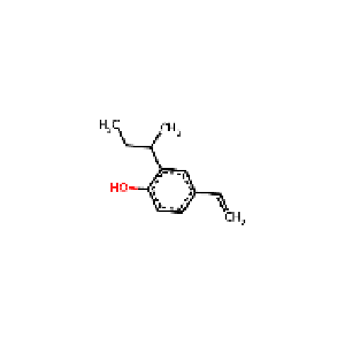 C=Cc1ccc(O)c(C(C)CC)c1